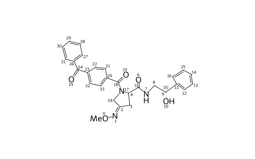 CON=C1CC(C(=O)NC[C@@H](O)c2ccccc2)N(C(=O)c2ccc(C(=O)c3ccccc3)cc2)C1